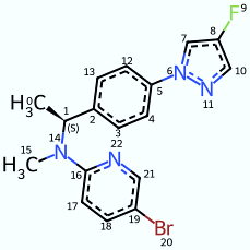 C[C@@H](c1ccc(-n2cc(F)cn2)cc1)N(C)c1ccc(Br)cn1